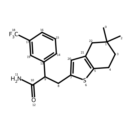 CC1(C)CCc2sc(CC(C(N)=O)c3cccc(C(F)(F)F)c3)cc2C1